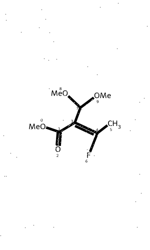 COC(=O)/C(=C(/C)F)C(OC)OC